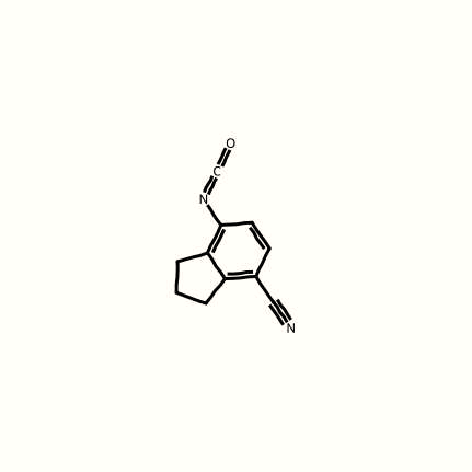 N#Cc1ccc(N=C=O)c2c1CCC2